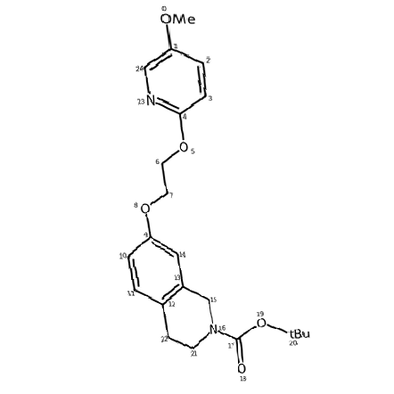 COc1ccc(OCCOc2ccc3c(c2)CN(C(=O)OC(C)(C)C)CC3)nc1